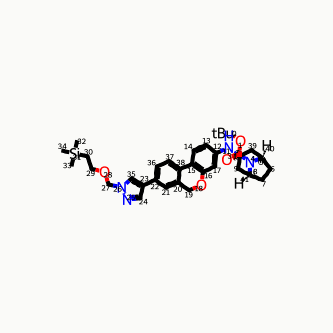 CC(C)(C)OC(=O)N1[C@@H]2CC[C@H]1C[C@H](Nc1ccc3c(c1)OCc1cc(-c4cnn(COCC[Si](C)(C)C)c4)ccc1-3)C2